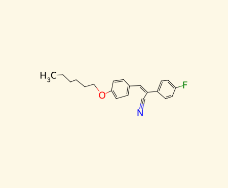 CCCCCCOc1ccc(C=C(C#N)c2ccc(F)cc2)cc1